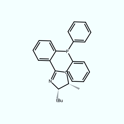 C[C@H]1OC(c2ccccc2P(c2ccccc2)c2ccccc2)=N[C@H]1C(C)(C)C